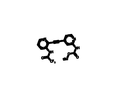 CC(C)(C)OC(=O)Nc1cc(C#Cc2ncccc2NC(=O)C(F)(F)F)ccn1